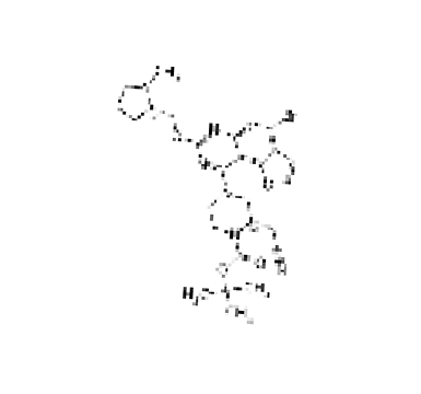 CN1CCC[C@H]1COc1nc(N2CCN(C(=O)OC(C)(C)C)[C@@H](CC#N)C2)c2c(cc(Br)c3ccoc32)n1